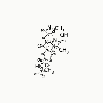 C[C@@H]1[C@H](CO)N=C2N(Cc3cnn(C)c3)C(=O)c3cc(S(=O)(=O)NC4(C)CC4)ccc3N21